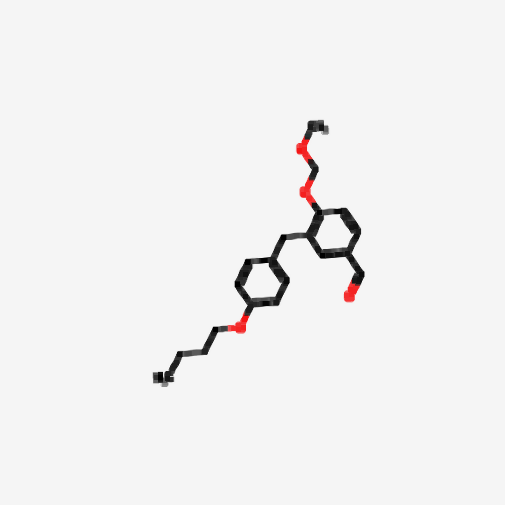 CCCCOc1ccc(Cc2cc(C=O)ccc2OCOC)cc1